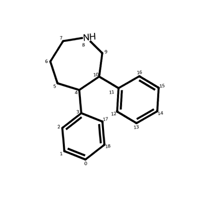 c1ccc(C2CCCNCC2c2ccccc2)cc1